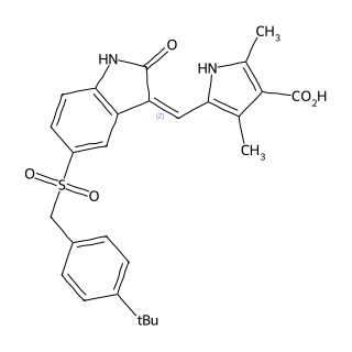 Cc1[nH]c(/C=C2\C(=O)Nc3ccc(S(=O)(=O)Cc4ccc(C(C)(C)C)cc4)cc32)c(C)c1C(=O)O